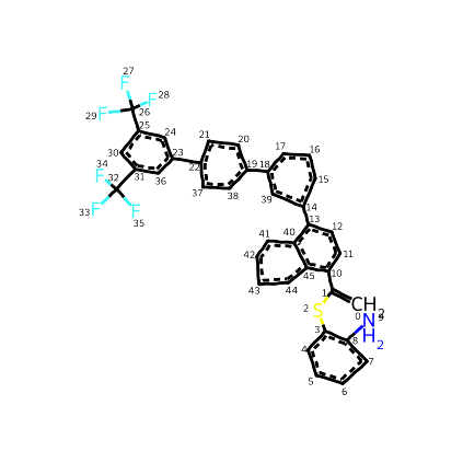 C=C(Sc1ccccc1N)c1ccc(-c2cccc(-c3ccc(-c4cc(C(F)(F)F)cc(C(F)(F)F)c4)cc3)c2)c2ccccc12